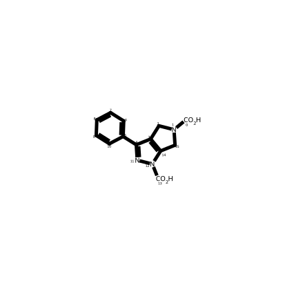 O=C(O)N1Cc2c(-c3ccccc3)nn(C(=O)O)c2C1